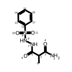 C[C](C(N)=O)C(=O)NNS(=O)(=O)c1ccccc1